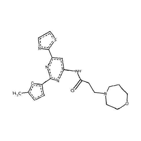 Cc1ccc(-c2nc(NC(=O)CCN3CCCOCC3)cc(-c3nccs3)n2)o1